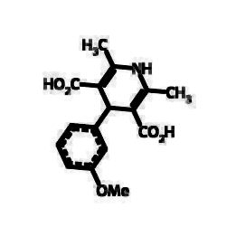 COc1cccc(C2C(C(=O)O)=C(C)NC(C)=C2C(=O)O)c1